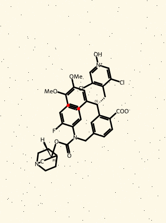 COc1ccc([C@H](Cc2c(Cl)c[n+](O)cc2Cl)c2cc(CN(C(=O)O[C@H]3CN4CCC3CC4)c3ccccc3F)ccc2C(=O)[O-])cc1OC